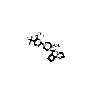 COc1nc(N2CC[C@H](C)N(C(=O)c3ccccc3-n3nccn3)CC2)ncc1C(F)(F)F